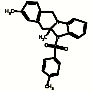 Cc1ccc(S(=O)(=O)N2c3ccccc3N3Cc4ccc(C)cc4CC32C)cc1